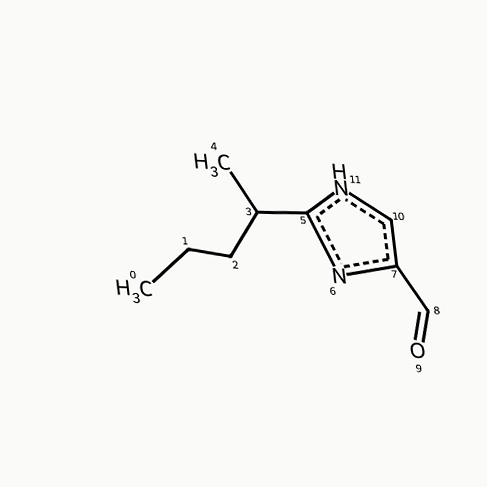 CCCC(C)c1nc(C=O)c[nH]1